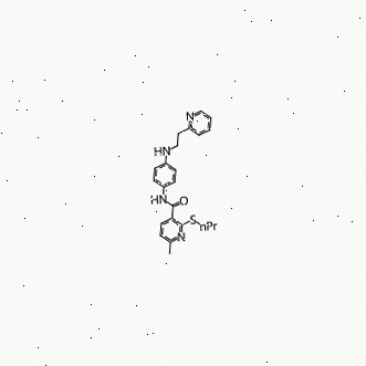 CCCSc1nc(C)ccc1C(=O)Nc1ccc(NCCc2ccccn2)cc1